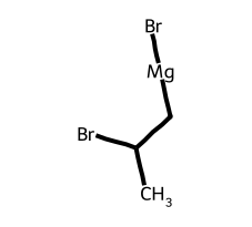 CC(Br)[CH2][Mg][Br]